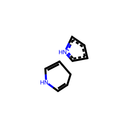 C1=CNC=CC1.c1cc[nH]c1